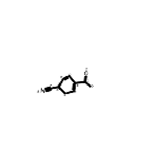 CC(=O)C1=CCC(C#N)C=C1